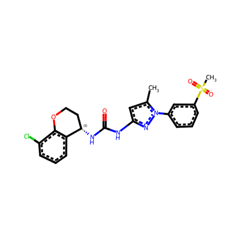 Cc1cc(NC(=O)N[C@H]2CCOc3c(Cl)cccc32)nn1-c1cccc(S(C)(=O)=O)c1